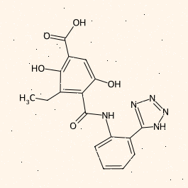 CCc1c(O)c(C(=O)O)cc(O)c1C(=O)Nc1ccccc1-c1nnn[nH]1